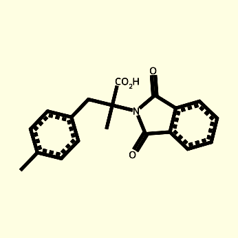 Cc1ccc(CC(C)(C(=O)O)N2C(=O)c3ccccc3C2=O)cc1